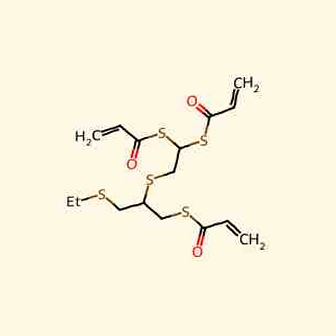 C=CC(=O)SCC(CSCC)SCC(SC(=O)C=C)SC(=O)C=C